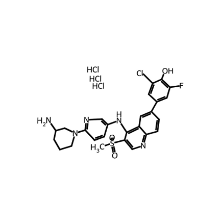 CS(=O)(=O)c1cnc2ccc(-c3cc(F)c(O)c(Cl)c3)cc2c1Nc1ccc(N2CCCC(N)C2)nc1.Cl.Cl.Cl